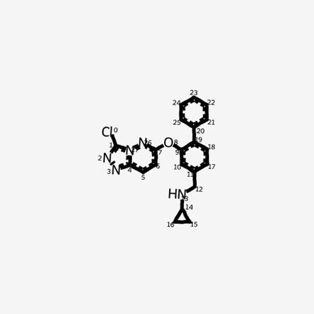 Clc1nnc2ccc(Oc3cc(CNC4CC4)ccc3-c3ccccc3)nn12